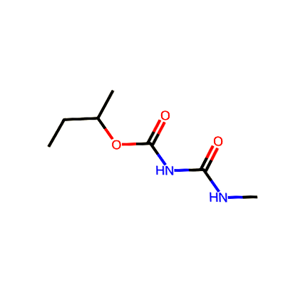 CCC(C)OC(=O)NC(=O)NC